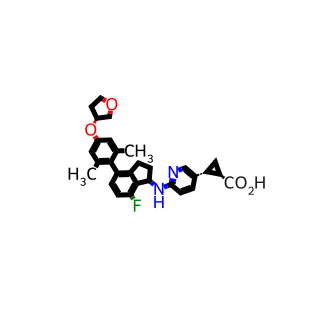 Cc1cc(O[C@H]2CCOC2)cc(C)c1-c1ccc(F)c2c1CCC2Nc1ccc([C@@H]2C[C@H]2C(=O)O)cn1